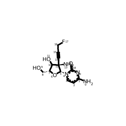 Nc1ccn([C@@H]2O[C@H](CO)C(O)[C@]2(N)C#CCF)c(=O)n1